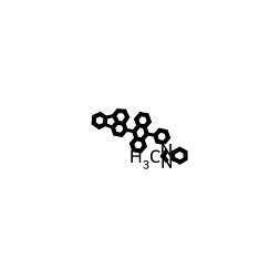 Cc1nc2ccccc2n1-c1cccc(-c2c3ccccc3c(-c3ccc4c5c(cccc35)-c3ccccc3-4)c3ccccc23)c1